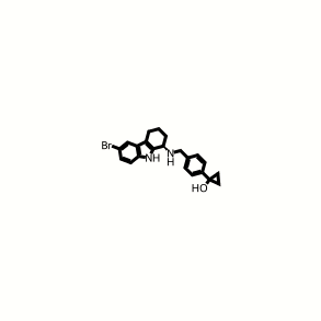 OC1(c2ccc(CN[C@@H]3CCCc4c3[nH]c3ccc(Br)cc43)cc2)CC1